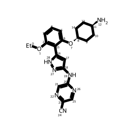 CCOc1cccc(O[C@H]2CC[C@H](N)CC2)c1-c1cc(Nc2cnc(C#N)cn2)n[nH]1